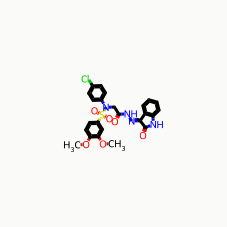 COc1ccc(S(=O)(=O)N(CC(=O)N/N=C2/C(=O)Nc3ccccc32)c2ccc(Cl)cc2)cc1OC